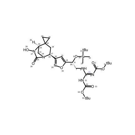 CC(C)(C)OC(=O)/N=C(\NC[C@@H](O[Si](C)(C)C(C)(C)C)c1cc([C@@H]2CC3(CC3)[C@H]3CN2C(=O)N3O)no1)NC(=O)OC(C)(C)C